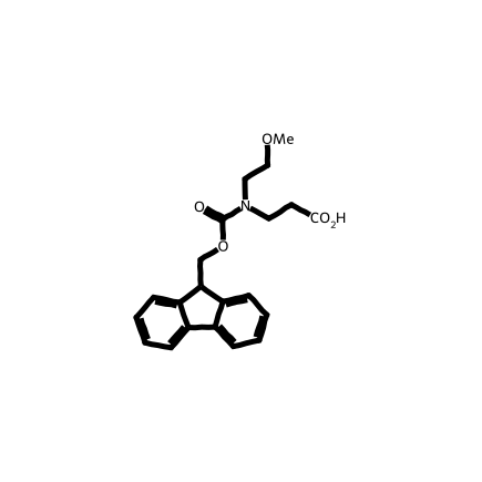 COCCN(CCC(=O)O)C(=O)OCC1c2ccccc2-c2ccccc21